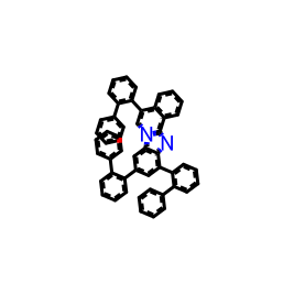 c1ccc(-c2ccccc2-c2cc(-c3ccccc3-c3ccccc3)c3nc4c5ccccc5c(-c5ccccc5-c5ccccc5)cn4c3c2)cc1